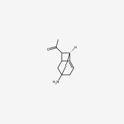 CC(=O)C1C2CC3(N)CC=C2[C@H]1C3